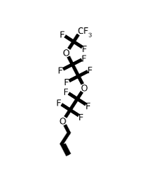 C=CCOC(F)(F)C(F)(F)OC(F)(F)C(F)(F)OC(F)(F)C(F)(F)F